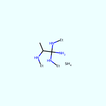 CCNC(C)C(N)(NCC)NCC.[SiH4]